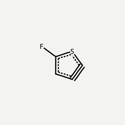 Fc1cc#cs1